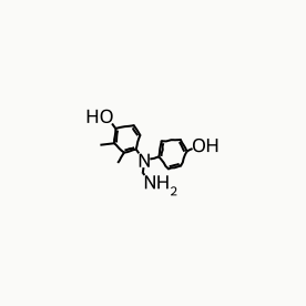 Cc1c(O)ccc(N(CN)c2ccc(O)cc2)c1C